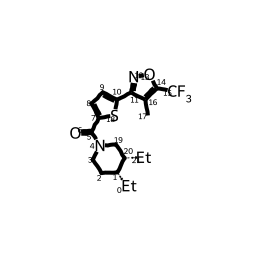 CC[C@@H]1CCN(C(=O)c2ccc(-c3noc(C(F)(F)F)c3C)s2)C[C@@H]1CC